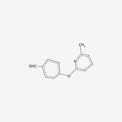 Cc1cccc(Oc2ccc(C=O)cc2)n1